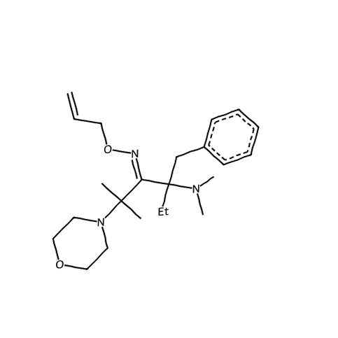 C=CCO/N=C(\C(C)(C)N1CCOCC1)C(CC)(Cc1ccccc1)N(C)C